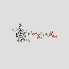 C[Si](C)(C)O[Si](C)(CCCOCC(O)CSCCC(=O)O)O[Si](C)(C)C